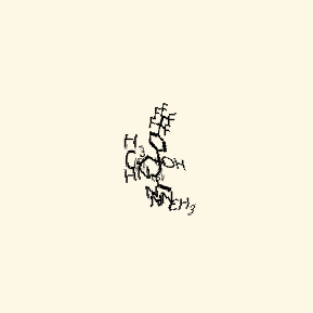 C[C@H]1C[C@@](O)(c2ccc(C(F)(F)C(F)(F)F)cc2)C[C@@H](c2cn(C)nn2)N1